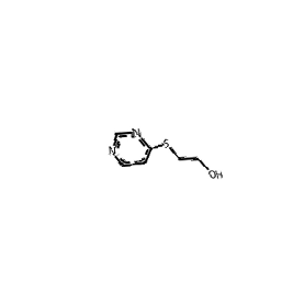 OCCSc1ccncn1